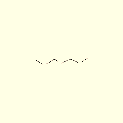 CCSCNCSCC